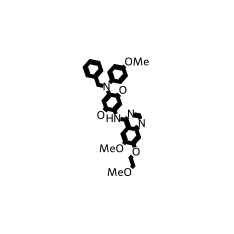 COCCOc1cc2ncnc(NC3=CC(=O)C(N(Cc4ccccc4)c4ccc(OC)cc4)=CC3=O)c2cc1OC